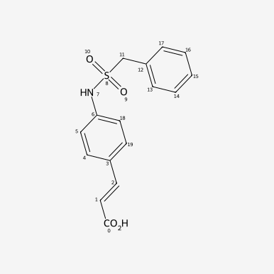 O=C(O)C=Cc1ccc(NS(=O)(=O)Cc2ccccc2)cc1